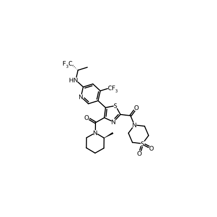 C[C@H](Nc1cc(C(F)(F)F)c(-c2sc(C(=O)N3CCS(=O)(=O)CC3)nc2C(=O)N2CCCC[C@@H]2C)cn1)C(F)(F)F